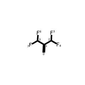 C=C(C(F)F)C(F)F